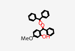 COc1ccc(C(=O)c2ccccc2)c(O)c1.O=C(c1ccccc1)c1ccccc1